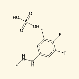 FNNc1cc(F)c(F)c(F)c1.O=S(=O)(O)O